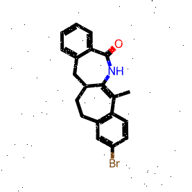 CC1=C2NC(=O)c3ccccc3CC2CCc2cc(Br)ccc21